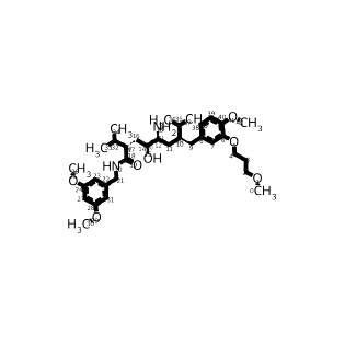 COCCCOc1cc(C[C@@H](C[C@H](N)[C@@H](O)C[C@H](C(=O)NCc2cc(OC)cc(OC)c2)C(C)C)C(C)C)ccc1OC